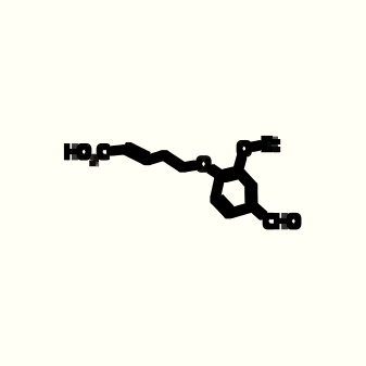 CCOc1cc(C=O)ccc1OCCC=CC(=O)O